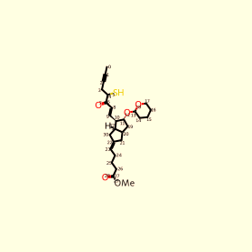 CC#CCC(S)C(=O)/C=C/[C@H]1[C@H](OC2CCCCO2)CC2C/C(=C\CCCC(=O)OC)C[C@@H]21